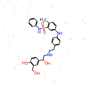 Cc1ccc(Nc2ccc(CCNCC(O)c3ccc(O)c(CO)c3)cc2)cc1S(=O)(=O)Nc1ccccc1